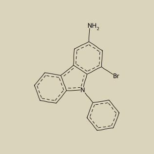 Nc1cc(Br)c2c(c1)c1ccccc1n2-c1ccccc1